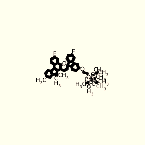 Cc1ccc2c(c1)C(C)(C)c1c3c(c4cc(F)ccc4c1-2)OC(c1ccc(F)cc1)(c1ccc(OCCO[Si](OC(C)(C)C)(OC(C)(C)C)OC(C)(C)C)cc1)C=C3